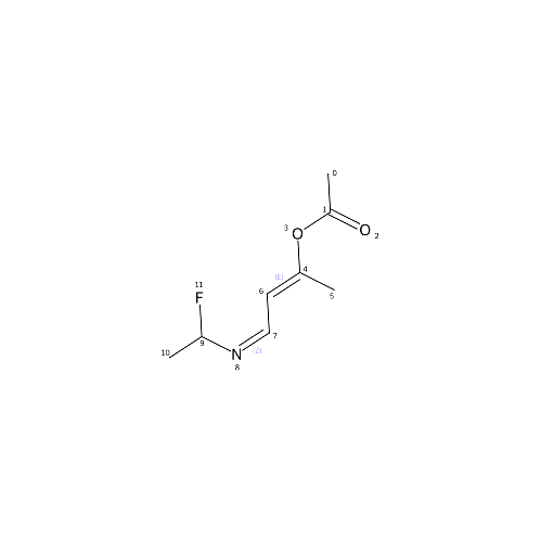 CC(=O)O/C(C)=C/C=N\C(C)F